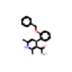 COC(=O)C1=C(C)NC(C)=CC1c1ccccc1OCc1ccccc1